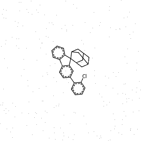 Clc1ccccc1-c1ccc2c(c1)C1(c3ccccc3-2)C2CC3CC(C2)CC1C3